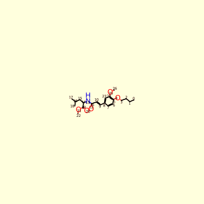 CCCCOc1ccc(C=CC(=O)NC(CC(C)C)C(=O)OC)cc1OC